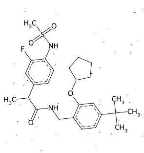 CC(C(=O)NCc1ccc(C(C)(C)C)cc1OC1CCCC1)c1ccc(NS(C)(=O)=O)c(F)c1